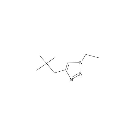 CCn1cc(CC(C)(C)C)nn1